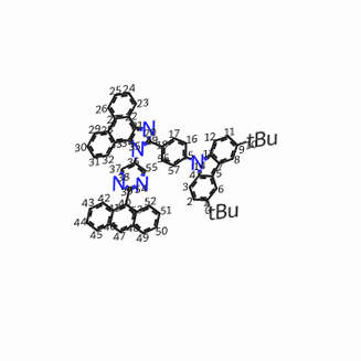 CC(C)(C)c1ccc2c(c1)c1cc(C(C)(C)C)ccc1n2-c1ccc(-c2nc3c4ccccc4c4ccccc4c3n2-c2cnc(-c3c4ccccc4cc4ccccc34)nc2)cc1